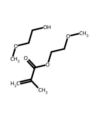 C=C(C)C(=O)OCCOC.COCCO